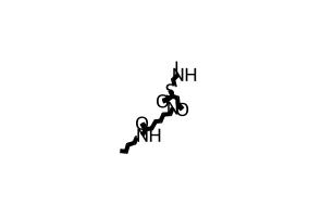 CCCCCNC(=O)CCCCCN1C(=O)CC(SCCNI)C1=O